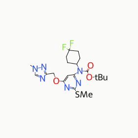 CSc1nc(OCc2ncn(C)n2)cc(N(C(=O)OC(C)(C)C)C2CCC(F)(F)CC2)n1